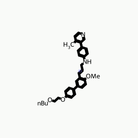 CCCCOCCOc1ccc(-c2ccc(OC)c(/C=C/CNc3ccc(-c4cnccc4C)cc3)c2)cc1